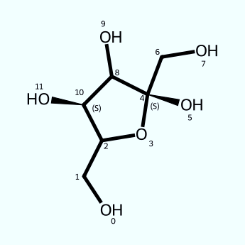 OCC1O[C@@](O)(CO)C(O)[C@@H]1O